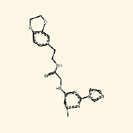 Cc1cc(NCC(=O)NCCc2ccc3c(c2)OCCO3)nc(-n2ccnc2)n1